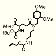 C=CCOC(=O)NCCCCN(Cc1ccc(OC)cc1OC)C(=O)CCC(NC(=O)OC(C)(C)C)C(=O)OC